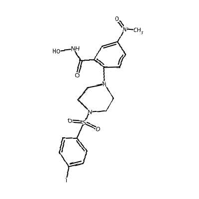 C[N+](=O)c1ccc(N2CCN(S(=O)(=O)c3ccc(I)cc3)CC2)c(C(=O)NO)c1